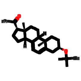 CCCC(=O)[C@H]1CC[C@H]2C3=CC=C4C[C@@H](O[Si](C)(C)C(C)(C)C)CC[C@]4(C)[C@H]3CC[C@]12C